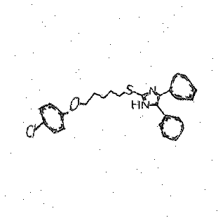 Clc1ccc(OCCCCCSc2nc(-c3ccccc3)c(-c3ccccc3)[nH]2)cc1